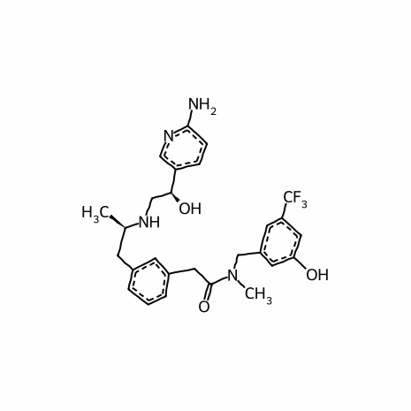 C[C@H](Cc1cccc(CC(=O)N(C)Cc2cc(O)cc(C(F)(F)F)c2)c1)NC[C@H](O)c1ccc(N)nc1